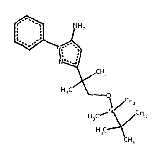 CC(C)(CO[Si](C)(C)C(C)(C)C)c1cc(N)n(-c2ccccc2)n1